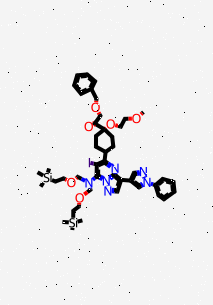 COCCOC1(C(=O)COCc2ccccc2)CCC(c2nc3c(-c4cnn(-c5ccccc5)c4)cnn3c(N(COCC[Si](C)(C)C)COCC[Si](C)(C)C)c2I)CC1